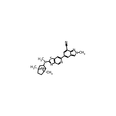 CN(c1nc2cnc(-c3cc(C#N)c4nn(C)cc4c3)cc2s1)C1C[C@]2(C)CC[C@](C)(C1)N2